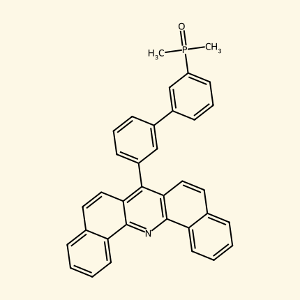 CP(C)(=O)c1cccc(-c2cccc(-c3c4ccc5ccccc5c4nc4c3ccc3ccccc34)c2)c1